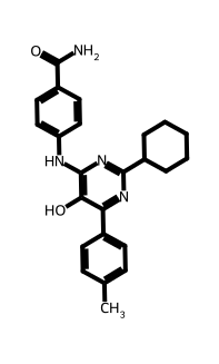 Cc1ccc(-c2nc(C3CCCCC3)nc(Nc3ccc(C(N)=O)cc3)c2O)cc1